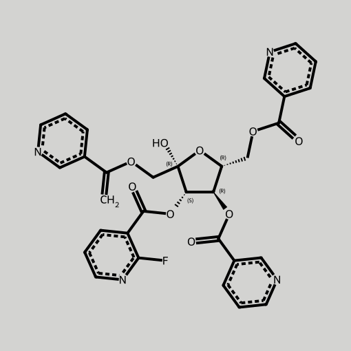 C=C(OC[C@@]1(O)O[C@H](COC(=O)c2cccnc2)[C@@H](OC(=O)c2cccnc2)[C@@H]1OC(=O)c1cccnc1F)c1cccnc1